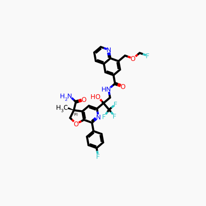 C[C@]1(C(N)=O)COc2c1cc(C(O)(CNC(=O)c1cc(COCF)c3ncccc3c1)C(F)(F)F)nc2-c1ccc(F)cc1